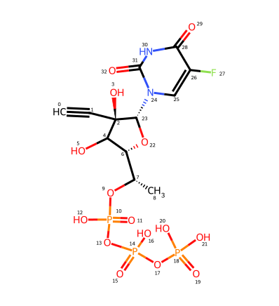 C#C[C@@]1(O)C(O)[C@@H]([C@H](C)OP(=O)(O)OP(=O)(O)OP(=O)(O)O)O[C@H]1n1cc(F)c(=O)[nH]c1=O